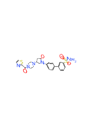 NS(=O)(=O)c1cccc(-c2ccc(N3CC(N4CCN(C(=O)c5nccs5)CC4)CC3=O)cc2)c1